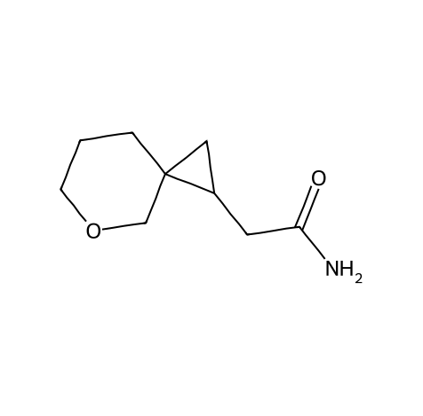 NC(=O)CC1CC12CCCOC2